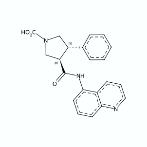 O=C(Nc1cccc2ncccc12)[C@H]1CN(C(=O)O)C[C@@H]1c1ccccc1